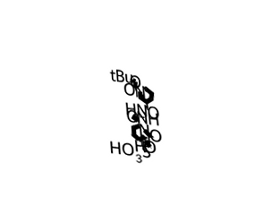 CC(C)(C)OC(=O)N1CCC[C@@H](C(=O)NNC(=O)[C@H]2CC[C@H]3CN2C(=O)N3OS(=O)(=O)O)C1